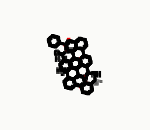 C[C@@H](NC(=O)c1ccc(-c2cccc3cccc(-c4ccc(-c5cccc6cccc(-c7ccc(C(=O)N[C@H](C)c8ccccc8)cc7)c56)c(N)c4N)c23)cc1)c1ccccc1